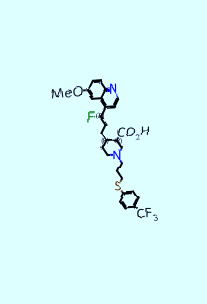 COc1ccc2nccc([C@@H](F)CC[C@@H]3CCN(CCCSc4ccc(C(F)(F)F)cc4)C[C@@H]3C(=O)O)c2c1